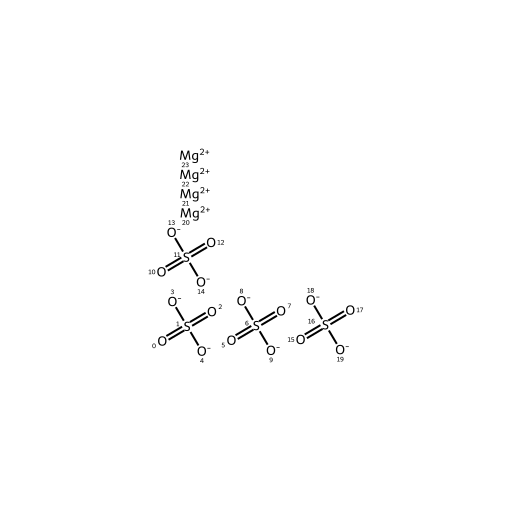 O=S(=O)([O-])[O-].O=S(=O)([O-])[O-].O=S(=O)([O-])[O-].O=S(=O)([O-])[O-].[Mg+2].[Mg+2].[Mg+2].[Mg+2]